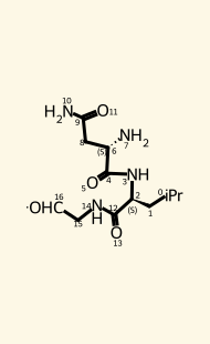 CC(C)C[C@H](NC(=O)[C@@H](N)CC(N)=O)C(=O)NC[C]=O